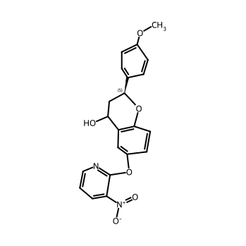 COc1ccc([C@@H]2CC(O)c3cc(Oc4ncccc4[N+](=O)[O-])ccc3O2)cc1